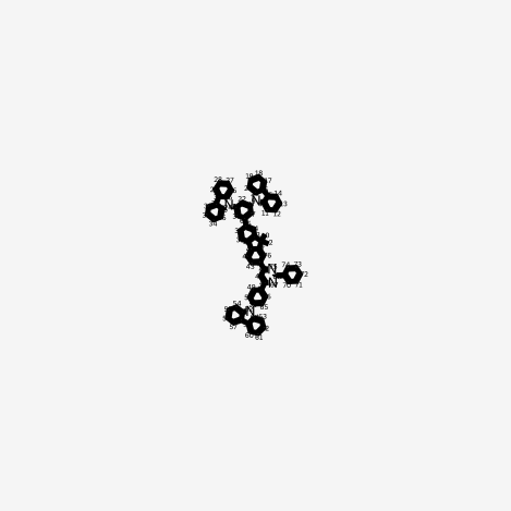 CC1(C)c2cc(-c3cc(-n4c5ccccc5c5ccccc54)cc(-n4c5ccccc5c5ccccc54)c3)ccc2-c2ccc(-c3cc(-c4ccc(-n5c6ccccc6c6ccccc65)cc4)nc(-c4ccccc4)n3)cc21